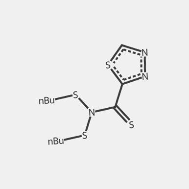 CCCCSN(SCCCC)C(=S)c1nncs1